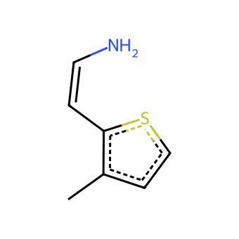 Cc1ccsc1/C=C\N